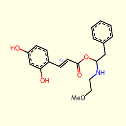 COCCNC(Cc1ccccc1)OC(=O)/C=C/c1ccc(O)cc1O